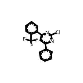 FC(F)(F)c1ccccc1-c1cc(-c2ccccc2)nc(Cl)n1